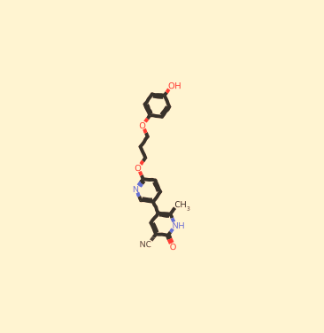 Cc1[nH]c(=O)c(C#N)cc1-c1ccc(OCCCOc2ccc(O)cc2)nc1